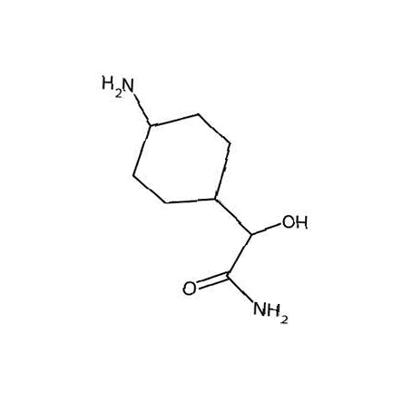 NC(=O)C(O)C1CCC(N)CC1